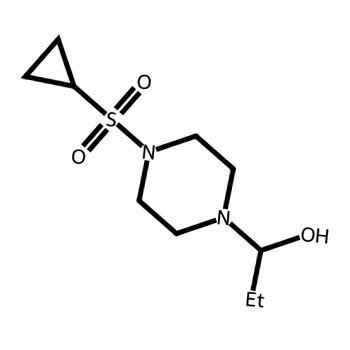 CCC(O)N1CCN(S(=O)(=O)C2CC2)CC1